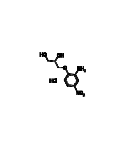 Cl.Nc1cc([N+](=O)[O-])ccc1OCC(O)CO